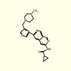 CN1CCN(Cc2cncc(-c3cc4cc(NC(=O)C5CC5)ncc4cn3)c2)CC1